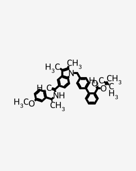 C=C(N[C@@H](C)c1cccc(OC)c1)c1ccc2c(c1)c(C)c(C)n2Cc1ccc(-c2ccccc2C(=O)OC(C)(C)C)cc1